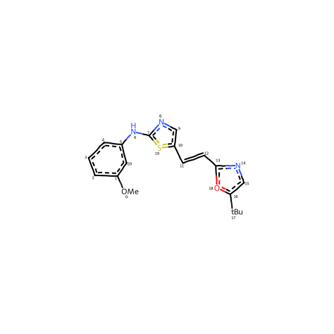 COc1cccc(Nc2ncc(/C=C/c3ncc(C(C)(C)C)o3)s2)c1